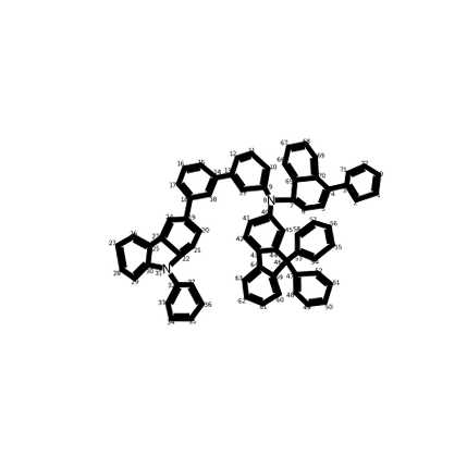 c1ccc(-c2ccc(N(c3cccc(-c4cccc(-c5ccc6c(c5)c5ccccc5n6-c5ccccc5)c4)c3)c3ccc4c(c3)C(c3ccccc3)(c3ccccc3)c3ccccc3-4)c3ccccc23)cc1